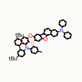 Cc1ccc2c(c1)B1c3cc4oc5c6ccc(N(c7ccccc7)c7ccccc7)cc6ccc5c4cc3Oc3cccc(c31)N2c1ccc(C(C)(C)C)cc1-c1ccc(C(C)(C)C)cc1